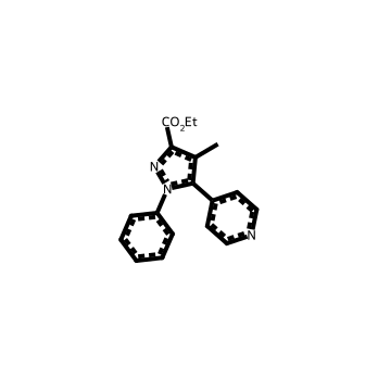 CCOC(=O)c1nn(-c2ccccc2)c(-c2ccncc2)c1C